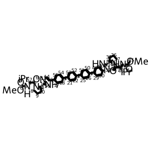 COC(=O)NC(C(=O)N1CCC[C@H]1c1ncc(-c2ccc(-c3ccc(-c4ccc(-c5ccc6nc([C@@H]7CCCN7C(=O)[C@@H](NC(=O)OC)C(C)C)[nH]c6c5)cc4)cc3)cc2)[nH]1)C(C)C